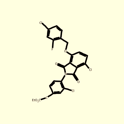 CCOC(=O)Cc1ccc(N2C(=O)c3c(Cl)ccc(OCc4ccc(Cl)cc4F)c3C2=O)c(Cl)c1